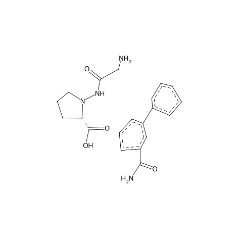 NC(=O)c1cccc(-c2ccccc2)c1.NCC(=O)NN1CCC[C@H]1C(=O)O